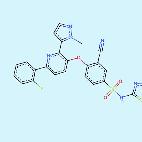 Cn1nccc1-c1nc(-c2ccccc2F)ccc1Oc1ccc(S(=O)(=O)Nc2nccs2)cc1C#N